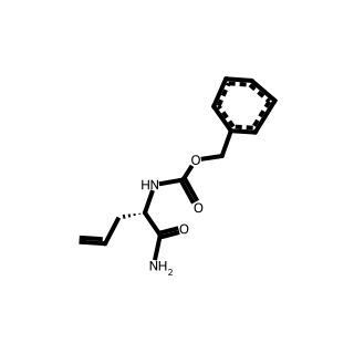 C=CC[C@H](NC(=O)OCc1ccccc1)C(N)=O